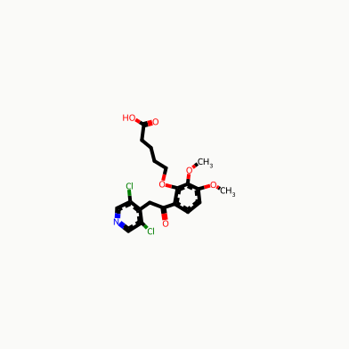 COc1ccc(C(=O)Cc2c(Cl)cncc2Cl)c(OCCCCC(=O)O)c1OC